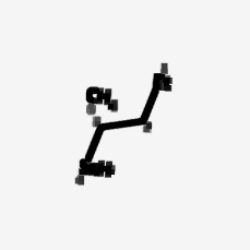 C.CCC[CH2][SnH]